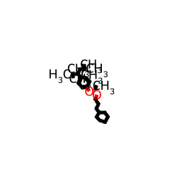 CC(OCCCC1CCCCC1)Oc1ccc(C(CC(C)(C)C)C(C)(C)C)cc1